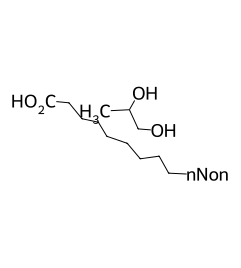 CC(O)CO.CCCCCCCCCCCCCCCCCC(=O)O